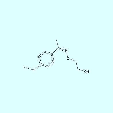 CCOc1ccc(/C(C)=N\OCCO)cc1